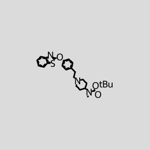 CN(C(=O)OC(C)(C)C)C1CCN(CCc2ccc(Oc3nc4ccccc4s3)cc2)CC1